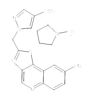 COc1cnn(Cc2nc3cnc4ccc(C#N)cc4c3n2[C@@H]2CCN(C)C2)c1